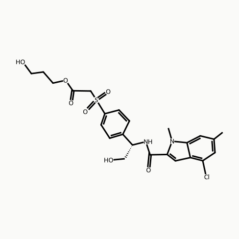 Cc1cc(Cl)c2cc(C(=O)N[C@H](CO)c3ccc(S(=O)(=O)CC(=O)OCCCO)cc3)n(C)c2c1